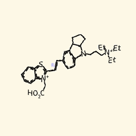 CC[N+](CC)(CC)CCCN1c2ccc(/C=C/c3sc4ccccc4[n+]3CC(=O)O)cc2C2CCCC21